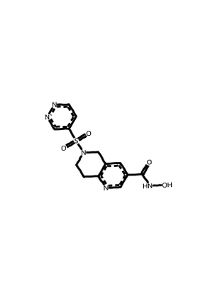 O=C(NO)c1cnc2c(c1)CN(S(=O)(=O)c1ccnnc1)CC2